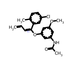 C=C/C=C(/Oc1cc(NC(C)=O)cc(OC)c1)c1cc(Cl)ccc1C